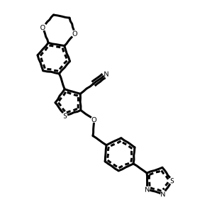 N#Cc1c(-c2ccc3c(c2)OCCO3)csc1OCc1ccc(-c2csnn2)cc1